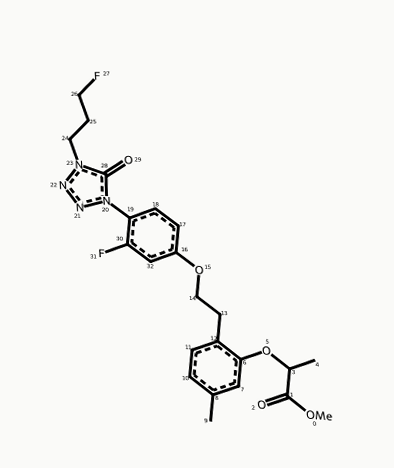 COC(=O)C(C)Oc1cc(C)ccc1CCOc1ccc(-n2nnn(CCCF)c2=O)c(F)c1